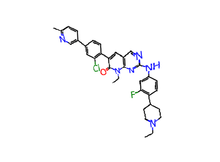 CCN1CCC(c2ccc(Nc3ncc4cc(-c5ccc(-c6ccc(C)nc6)cc5Cl)c(=O)n(CC)c4n3)cc2F)CC1